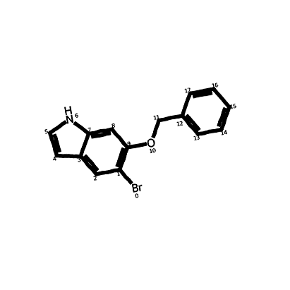 Brc1cc2cc[nH]c2cc1OCc1ccccc1